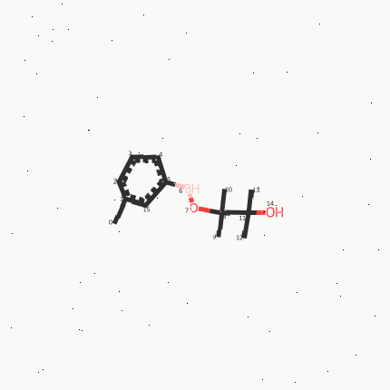 Cc1cccc(BOC(C)(C)C(C)(C)O)c1